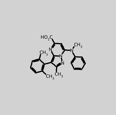 Cc1cccc(C)c1-c1c(C)nn2c(N(C)c3ccccc3)cc(C(=O)O)nc12